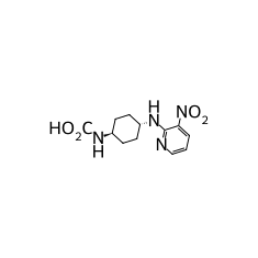 O=C(O)N[C@H]1CC[C@H](Nc2ncccc2[N+](=O)[O-])CC1